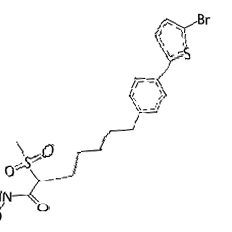 CS(=O)(=O)C(CCCCCc1ccc(-c2ccc(Br)s2)cc1)C(=O)NO